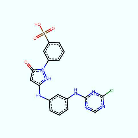 O=c1cc(Nc2cccc(Nc3n[c]nc(Cl)n3)c2)[nH]n1-c1cccc(S(=O)(=O)O)c1